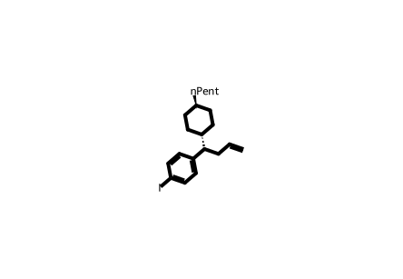 C=CCC(c1ccc(I)cc1)[C@H]1CC[C@H](CCCCC)CC1